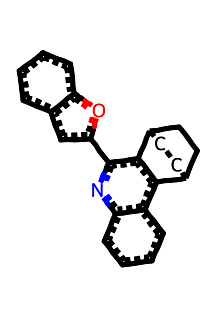 c1ccc2oc(-c3nc4ccccc4c4c3C3CCC4CC3)cc2c1